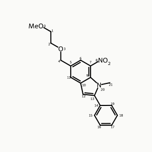 COCCOCc1cc([N+](=O)[O-])c2c(c1)cc(-c1ccccc1)n2C